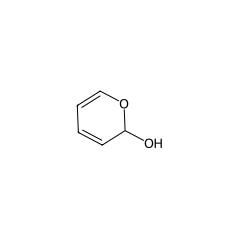 OC1C=CC=CO1